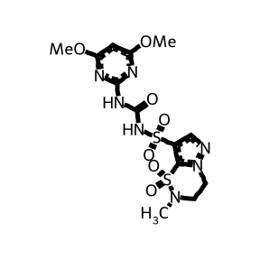 COc1cc(OC)nc(NC(=O)NS(=O)(=O)c2cnn3c2S(=O)(=O)N(C)CC3)n1